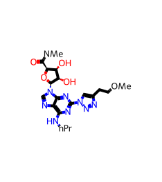 CCCNc1nc(-n2cc(CCOC)nn2)nc2c1ncn2[C@@H]1O[C@@H](C(=O)NC)[C@@H](O)[C@H]1O